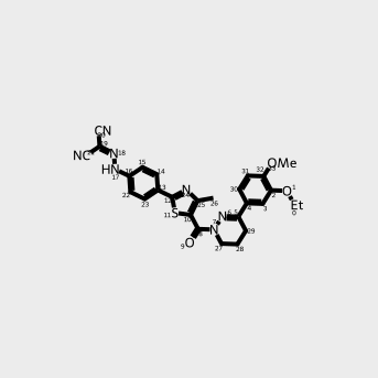 CCOc1cc(C2=NN(C(=O)c3sc(-c4ccc(NN=C(C#N)C#N)cc4)nc3C)CCC2)ccc1OC